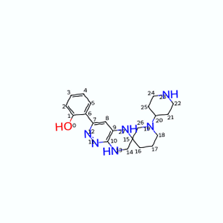 Oc1ccccc1-c1cc2c(nn1)NCC1(CCCN(C3CCNCC3)C1)N2